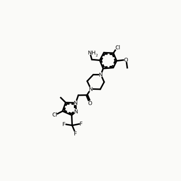 COc1cc(N2CCN(C(=O)Cn3nc(C(F)(F)F)c(Cl)c3C)CC2)c(CN)cc1Cl